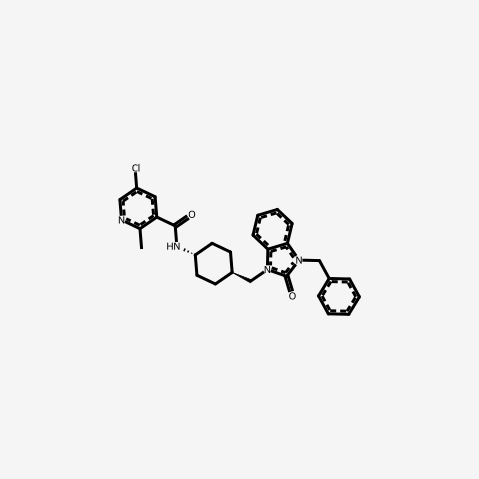 Cc1ncc(Cl)cc1C(=O)N[C@H]1CC[C@H](Cn2c(=O)n(Cc3ccccc3)c3ccccc32)CC1